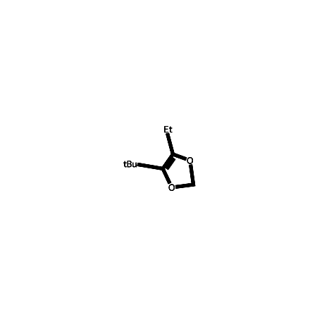 CCC1=C(C(C)(C)C)OCO1